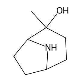 CC1(O)CCC2CCC1N2